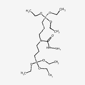 CCO[Si](CCCN(CCC[Si](OCC)(OCC)OCC)C(=O)N[SiH3])(OCC)OCC